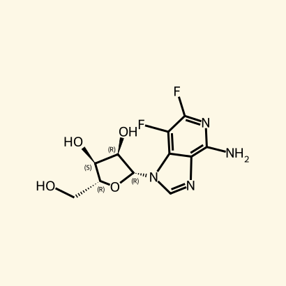 Nc1nc(F)c(F)c2c1ncn2[C@@H]1O[C@H](CO)[C@@H](O)[C@H]1O